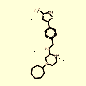 CC1CC(c2ccc(CNC3CN(C4CCCCCC4)CCN3)cc2)ON1